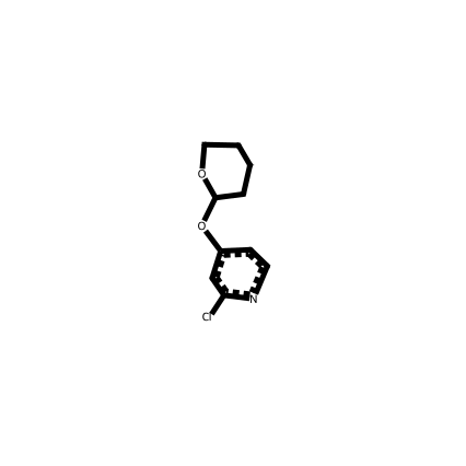 Clc1cc(OC2C[CH]CCO2)ccn1